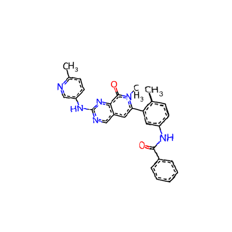 Cc1ccc(Nc2ncc3cc(-c4cc(NC(=O)c5ccccc5)ccc4C)n(C)c(=O)c3n2)cn1